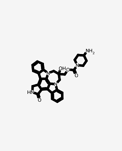 NC1CCN(C(=O)OCC2(O)Cn3c4ccccc4c4c5c(c6c7ccccc7n(c6c43)C2)C(=O)NC5)CC1